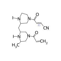 C=CC(=O)N1CC(C)N(I)C(CC2CN(C(=O)/C=C/C#N)CCN2I)C1